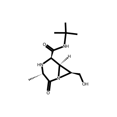 C[C@@H]1N[C@@H](C(=O)NC(C)(C)C)[C@H]2[C@@H](CO)N2C1=O